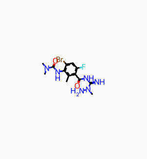 Cc1c(NC(=O)N(C)C)c(Br)cc(F)c1C(=O)NC(=N)N(C)N